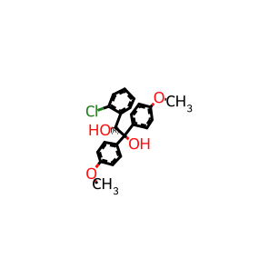 COc1ccc(C(O)(c2ccc(OC)cc2)[C@H](O)c2ccccc2Cl)cc1